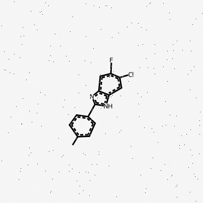 Cc1ccc(-c2nc3cc(F)c(Cl)cc3[nH]2)cc1